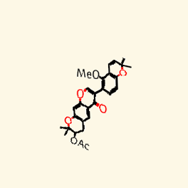 COc1c(-c2coc3cc4c(cc3c2=O)CC(OC(C)=O)C(C)(C)O4)ccc2c1C=CC(C)(C)O2